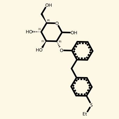 CCSc1ccc(Cc2ccccc2O[C@H]2C(O)O[C@H](CO)[C@@H](O)[C@@H]2O)cc1